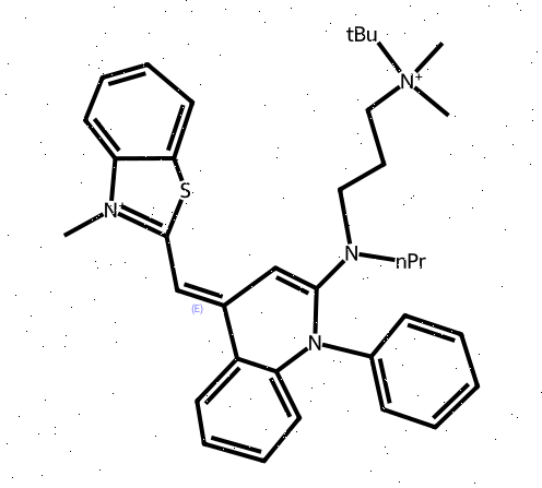 CCCN(CCC[N+](C)(C)C(C)(C)C)C1=C/C(=C\c2sc3ccccc3[n+]2C)c2ccccc2N1c1ccccc1